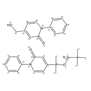 CC(C)(C)[SiH2]OC(C)(C)c1ccn(-c2ccccc2)c(=O)c1.O=c1cc(CO)ccn1-c1ccccc1